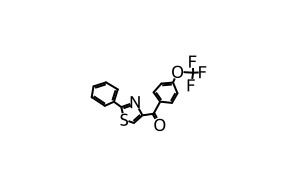 O=C(c1ccc(OC(F)(F)F)cc1)c1csc(-c2ccccc2)n1